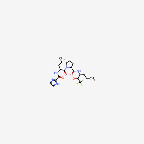 CCC[C@H](NC(=O)c1n[c]c[nH]1)C(=O)N1CCC[C@H]1C(=O)N[C@@H](CCC)C(=O)C(F)(F)F